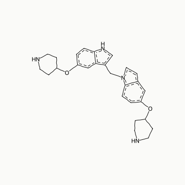 c1cc2c(ccn2Cc2c[nH]c3ccc(OC4CCNCC4)cc23)cc1OC1CCNCC1